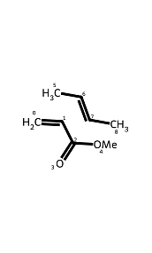 C=CC(=O)OC.CC=CC